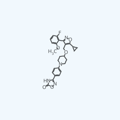 COc1cccc(F)c1-c1noc(C2CC2)c1COC1CCN(c2ccc(-c3noc(=O)[nH]3)cc2)CC1